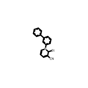 CCC1C(C#N)=CC=CN1c1cccc(-c2ccccc2)c1